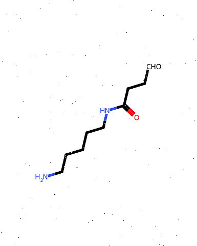 NCCCCCNC(=O)CCC=O